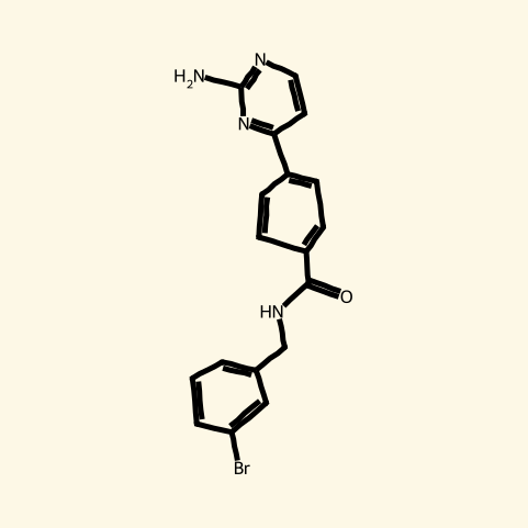 Nc1nccc(-c2ccc(C(=O)NCc3cccc(Br)c3)cc2)n1